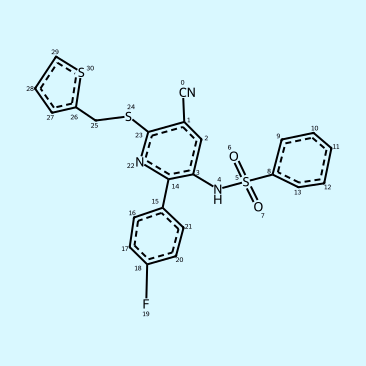 N#Cc1cc(NS(=O)(=O)c2ccccc2)c(-c2ccc(F)cc2)nc1SCc1cccs1